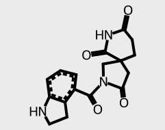 O=C1CCC2(CC(=O)N(C(=O)c3cccc4c3CCN4)C2)C(=O)N1